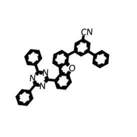 N#Cc1cc(-c2ccccc2)cc(-c2cccc3c2oc2cccc(-c4nc(-c5ccccc5)nc(-c5ccccc5)n4)c23)c1